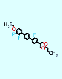 BCOc1ccc(-c2ccc(-c3ccc(C4COC(/C=C/C)OC4)cc3F)cc2)c(F)c1F